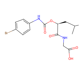 CC(C)C[C@H](OC(=O)Nc1ccc(Br)cc1)C(=O)NCC(=O)O